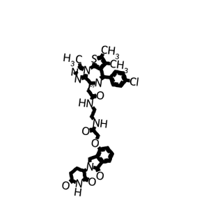 Cc1sc2c(c1C)C(c1ccc(Cl)cc1)=N[C@@H](CC(=O)NCCNC(=O)COc1cccc3c1CN(C1CCC(=O)NC1=O)C3=O)c1nnc(C)n1-2